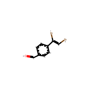 O=Cc1ccc(C(Br)=CBr)cc1